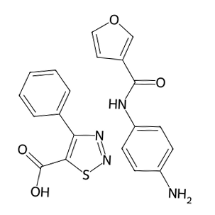 Nc1ccc(NC(=O)c2ccoc2)cc1.O=C(O)c1snnc1-c1ccccc1